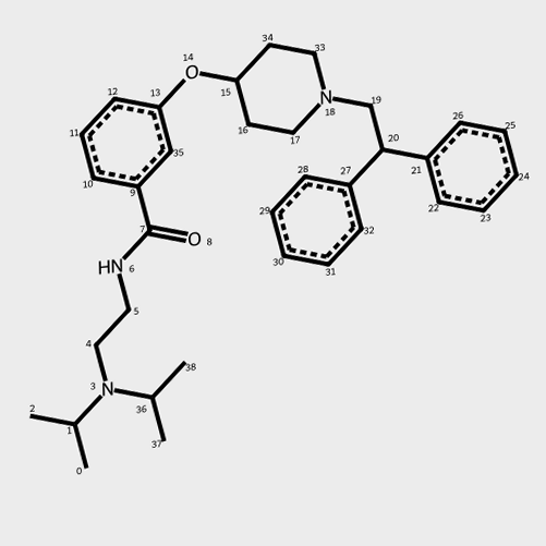 CC(C)N(CCNC(=O)c1cccc(OC2CCN(CC(c3ccccc3)c3ccccc3)CC2)c1)C(C)C